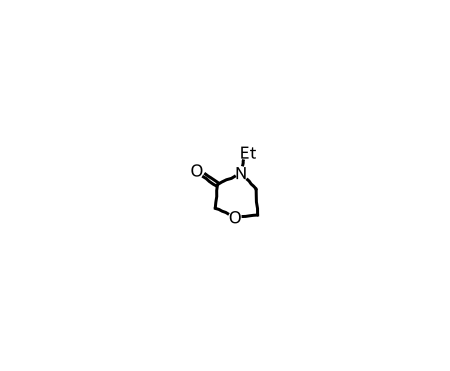 CCN1CCOCC1=O